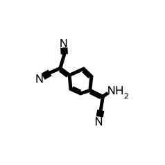 N#CC(N)=c1ccc(=C(C#N)C#N)cc1